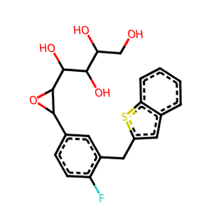 OCC(O)C(O)C(O)C1OC1c1ccc(F)c(Cc2cc3ccccc3s2)c1